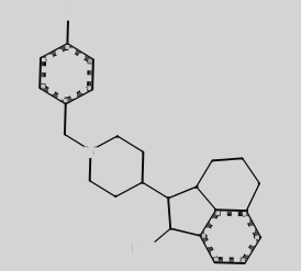 OC1c2cccc3c2C(CCC3)C1C1CCN(Cc2ccc(F)cc2)CC1